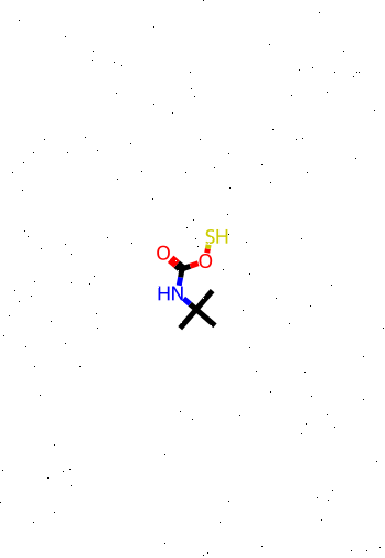 CC(C)(C)NC(=O)OS